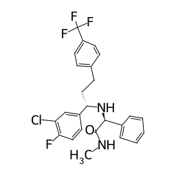 CNC(=O)[C@@H](N[C@@H](CCc1ccc(C(F)(F)F)cc1)c1ccc(F)c(Cl)c1)c1ccccc1